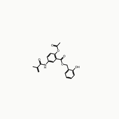 C=C(C)C(=O)Nc1ccc(OC(C)=O)c(C(=O)OCc2ccccc2O)c1